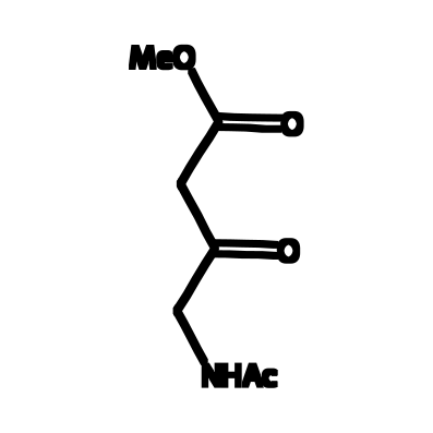 COC(=O)CC(=O)CNC(C)=O